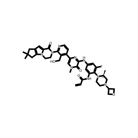 C=CC(=O)Nc1cc(Nc2nc(-c3ccnc(N4CCn5c(cc6c5CC(C)(C)C6)C4=O)c3CO)cn(C)c2=O)cc(F)c1N1CCN(C2COC2)C[C@@H]1C